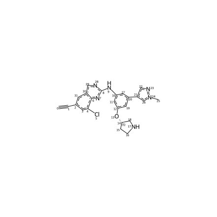 C#Cc1cc(Cl)c2nc(Nc3cc(O[C@H]4CCNC4)cc(-c4cnn(C)c4)c3)ncc2c1